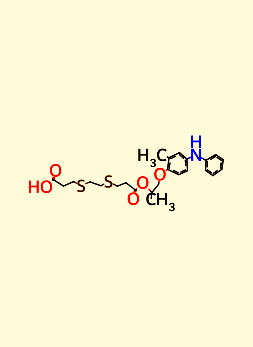 Cc1cc(Nc2ccccc2)ccc1OCC(C)OC(=O)CCSCCSCCC(=O)O